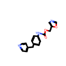 O=C(Nc1ccc(Cc2ccncc2)cc1)OCc1cnco1